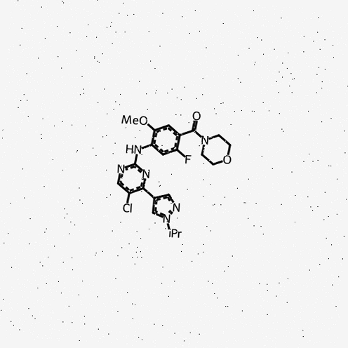 COc1cc(C(=O)N2CCOCC2)c(F)cc1Nc1ncc(Cl)c(-c2cnn(C(C)C)c2)n1